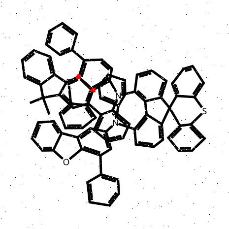 CC1(C)c2ccccc2-c2ccc(-c3ccccc3N(c3cccc4c3-c3c(N(c5ccccc5)c5cc(-c6ccccc6)c6oc7ccccc7c6c5)cccc3C43c4ccccc4Sc4ccccc43)c3ccc(-c4ccccc4)c4oc5ccccc5c34)cc21